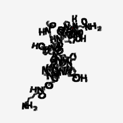 CCC(=O)NCCCCC(NC(=O)[C@H](Cc1ccc(O)cc1)NC(=O)C(Cc1c[nH]c2ccccc12)NC(=O)[C@H](Cc1c[nH]cn1)NC(=O)C(Cc1ccc(O)cc1)NC(=O)COCCOCCNC(=O)CCCCCN)C(=O)N[C@@H](Cc1ccc(O)cc1)C(=O)NC(C(=O)N1CCCC1C(=O)NC(CCC(N)=O)C(=O)NC)C(C)O